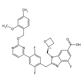 COc1cc(C)ccc1COc1nccc(-c2cc(F)c(Cc3nc4c(F)cc(C(=O)O)cc4n3C[C@@H]3CCO3)cc2F)n1